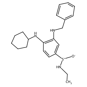 CCN[S+]([O-])c1ccc(NC2CCCCC2)c(NCc2ccccc2)c1